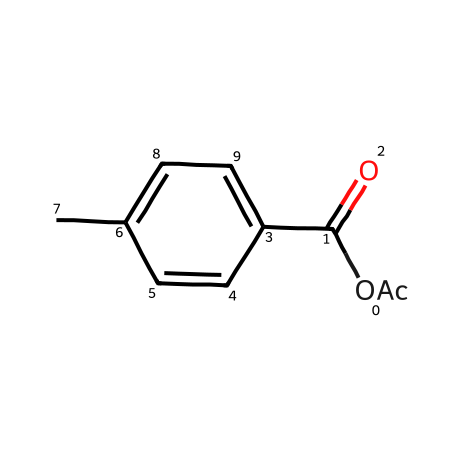 CC(=O)OC(=O)c1ccc(C)cc1